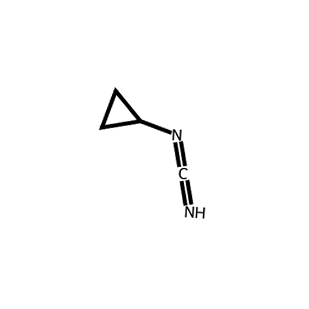 N=C=NC1CC1